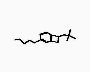 CCCCCc1ccc2c(c1)CC2CC(C)(C)C